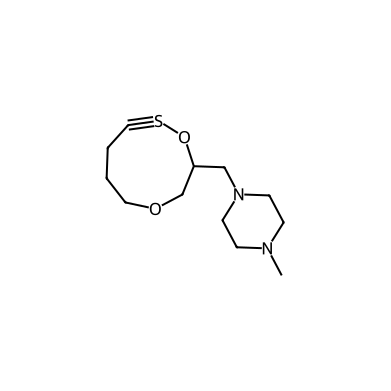 CN1CCN(CC2COCCCC#SO2)CC1